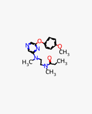 CCC(=O)N(C)CCN(C)c1cncc(Oc2ccc(OC)cc2)n1